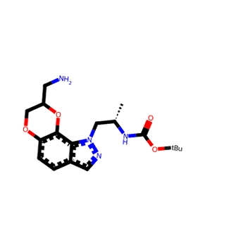 C[C@@H](Cn1ncc2ccc3c(c21)OC(CN)CO3)NC(=O)OC(C)(C)C